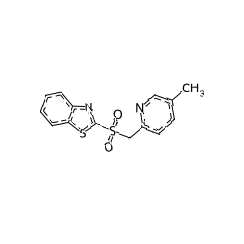 Cc1ccc(CS(=O)(=O)c2nc3ccccc3s2)nc1